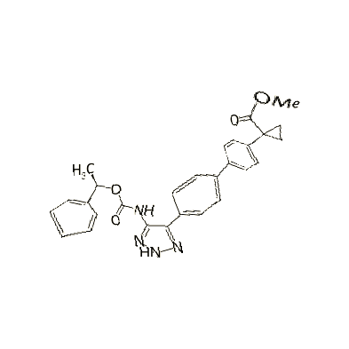 COC(=O)C1(c2ccc(-c3ccc(-c4n[nH]nc4NC(=O)O[C@H](C)c4ccccc4)cc3)cc2)CC1